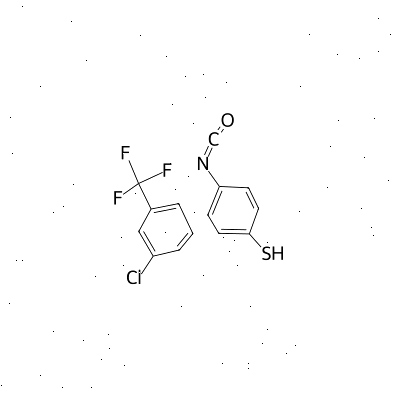 FC(F)(F)c1cccc(Cl)c1.O=C=Nc1ccc(S)cc1